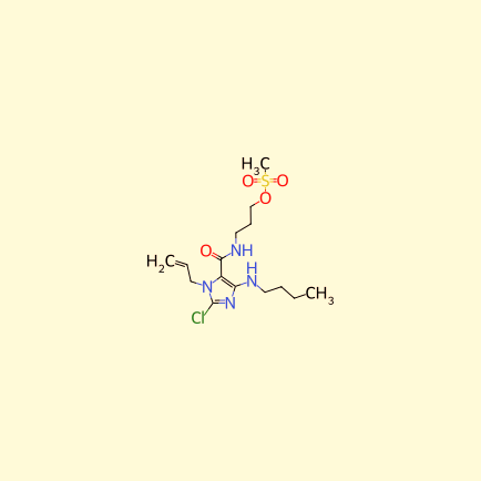 C=CCn1c(Cl)nc(NCCCC)c1C(=O)NCCCOS(C)(=O)=O